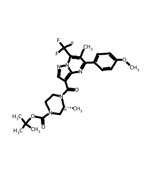 COc1ccc(-c2nc3c(C(=O)N4CCN(C(=O)OC(C)(C)C)C[C@H]4C)cnn3c(C(F)(F)F)c2C)cc1